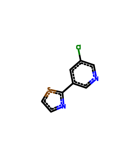 Clc1cncc(-c2nccs2)c1